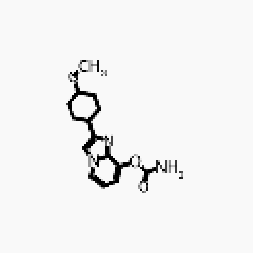 COC1CCC(c2cn3cccc(OC(N)=O)c3n2)CC1